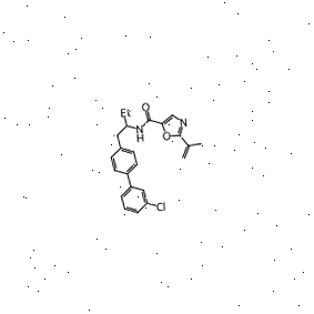 [CH2]CC([CH]c1ccc(-c2cccc(Cl)c2)cc1)NC(=O)c1cnc(C(=C)C)o1